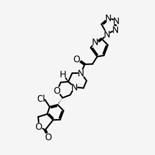 O=C1OCc2c1ccc([C@H]1CN3CCN(C(=O)Cc4ccc(-n5cnnn5)nc4)C[C@H]3CO1)c2Cl